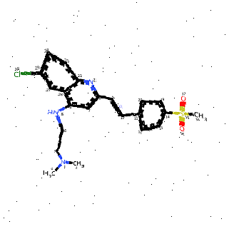 CN(C)CCNc1cc(/C=C/c2ccc(S(C)(=O)=O)cc2)nc2ccc(Cl)cc12